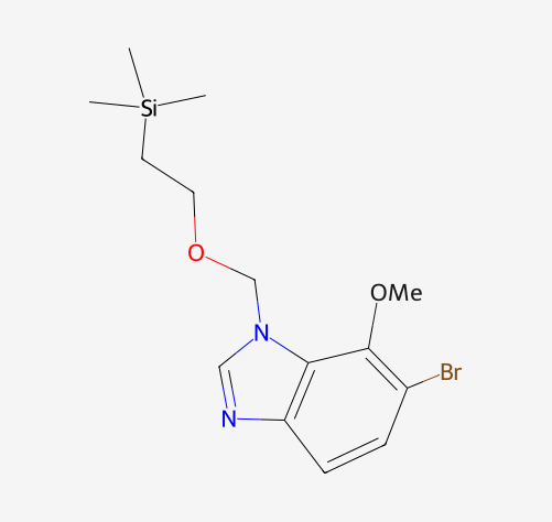 COc1c(Br)ccc2ncn(COCC[Si](C)(C)C)c12